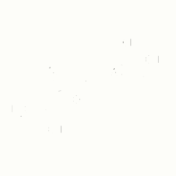 C=C(C)C(=O)OCC[As](CC)CC